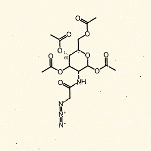 CC(=O)OCC1OC(OC(C)=O)C(NC(=O)CN=[N+]=[N-])C(OC(C)=O)[C@@H]1OC(C)=O